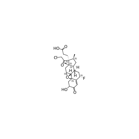 C[C@H]1C[C@H]2[C@@H]3C[C@H](F)C4=CC(=O)C(O)C[C@]4(C)[C@@]34O[C@H]4C[C@]2(C)[C@@]1(CCC(=O)O)C(=O)CCl